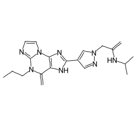 C=C(Cn1cc(-c2nc3c([nH]2)C(=C)N(CCC)c2nccn2-3)cn1)NC(C)C